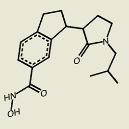 CC(C)CN1CCC(C2CCc3ccc(C(=O)NO)cc32)C1=O